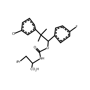 CC(C)CC(NC(=O)OC(c1ccc(F)cc1)C(C)(C)c1cccc(Cl)c1)C(=O)O